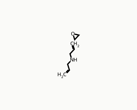 C1CO1.C=CCNCC=C